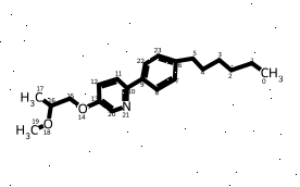 CCCCCCc1ccc(-c2ccc(OCC(C)OC)cn2)cc1